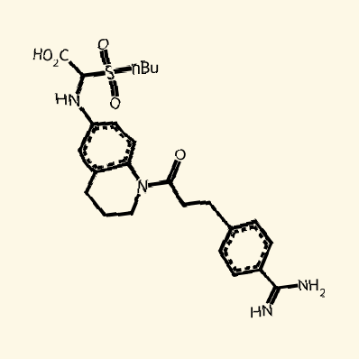 CCCCS(=O)(=O)C(Nc1ccc2c(c1)CCCN2C(=O)CCc1ccc(C(=N)N)cc1)C(=O)O